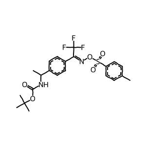 Cc1ccc(S(=O)(=O)O/N=C(/c2ccc(C(C)NC(=O)OC(C)(C)C)cc2)C(F)(F)F)cc1